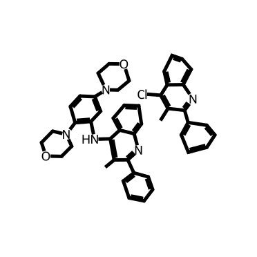 Cc1c(-c2ccccc2)nc2ccccc2c1Cl.Cc1c(-c2ccccc2)nc2ccccc2c1Nc1cc(N2CCOCC2)ccc1N1CCOCC1